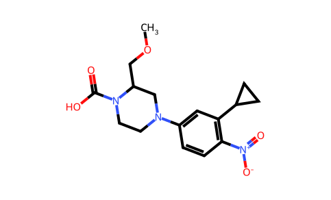 COCC1CN(c2ccc([N+](=O)[O-])c(C3CC3)c2)CCN1C(=O)O